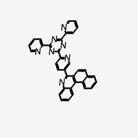 c1ccc(-c2nc(-c3ccccn3)nc(-c3ccc(-c4nc5ccccc5c5c4ccc4ccccc45)cn3)n2)nc1